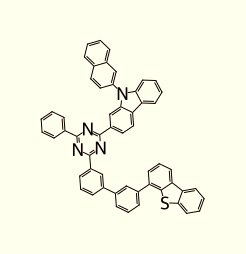 c1ccc(-c2nc(-c3cccc(-c4cccc(-c5cccc6c5sc5ccccc56)c4)c3)nc(-c3ccc4c5ccccc5n(-c5ccc6ccccc6c5)c4c3)n2)cc1